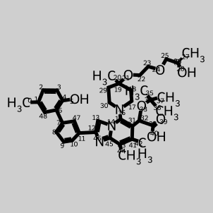 Cc1ccc(O)c(-c2cccc(-c3cn4c(N5CCC(C)(OCCOC[C@@H](C)O)CC5)c(C(OC(C)(C)C)C(=O)O)c(C)c(C)c4n3)c2)c1